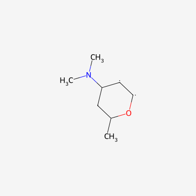 CC1CC(N(C)C)[CH][CH]O1